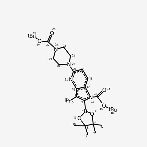 CC(C)c1c(B2OC(C)(C)C(C)(C)O2)n(C(=O)OC(C)(C)C)c2ccc(N3CCN(C(=O)OC(C)(C)C)CC3)nc12